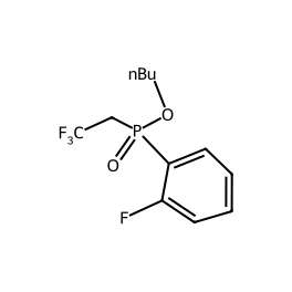 CCCCOP(=O)(CC(F)(F)F)c1ccccc1F